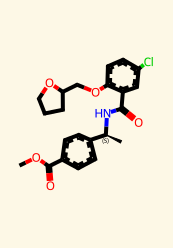 COC(=O)c1ccc([C@H](C)NC(=O)c2cc(Cl)ccc2OCC2CCCO2)cc1